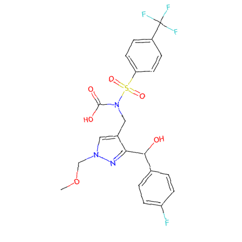 COCn1cc(CN(C(=O)O)S(=O)(=O)c2ccc(C(F)(F)F)cc2)c(C(O)c2ccc(F)cc2)n1